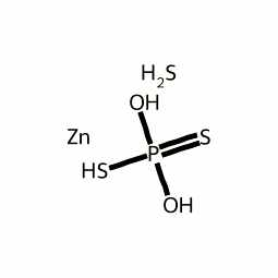 OP(O)(=S)S.S.[Zn]